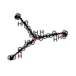 CCC(COCCC(=O)NCCOCCOCCOCCC(=O)NCCCCCCCC(=O)ON1CCCC1=O)(COCCC(=O)NCCOCCOCCOCCC(=O)NCCCCCCCC(=O)ON1CCCC1=O)COCCC(=O)NCCOCCOCCOCCC(=O)NCCCCCCCC(=O)ON1C(=O)CCC1O